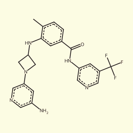 Cc1ccc(C(=O)Nc2cncc(C(F)(F)F)c2)cc1NC1CN(c2cncc(N)c2)C1